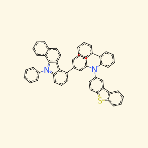 c1ccc(-c2ccccc2N(c2cccc(-c3cccc4c3c3ccc5ccccc5c3n4-c3ccccc3)c2)c2ccc3sc4ccccc4c3c2)cc1